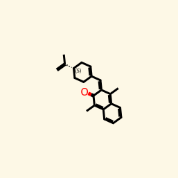 C=C(C)[C@@H]1CC=C(C=C2C(=O)C(C)=c3ccccc3=C2C)CC1